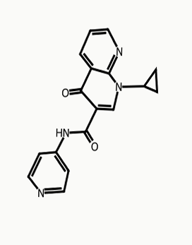 O=C(Nc1ccncc1)c1cn(C2CC2)c2ncccc2c1=O